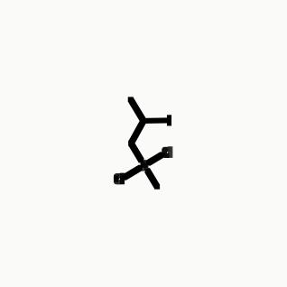 CC(I)CS(C)(Cl)Cl